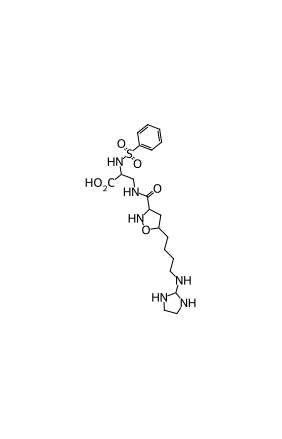 O=C(O)C(CNC(=O)C1CC(CCCCNC2NCCN2)ON1)NS(=O)(=O)c1ccccc1